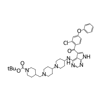 CC(C)(C)OC(=O)N1CCC(CN2CCC(N3CCC(Nc4ncnc5[nH]cc(C(=O)c6ccc(Oc7ccccc7)cc6Cl)c45)CC3)CC2)CC1